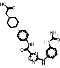 NC(=O)Nc1cccc(Nc2nnc(C(=O)Nc3ccc([C@H]4CC[C@H](CC(=O)O)CC4)cc3)o2)c1